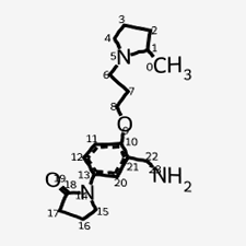 CC1CCCN1CCCOc1ccc(N2CCCC2=O)cc1CN